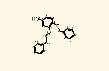 Oc1ccc(OCc2ccccc2)c(OCCc2ccccc2)c1